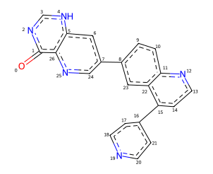 O=c1nc[nH]c2cc(-c3ccc4nccc(-c5ccncc5)c4c3)cnc12